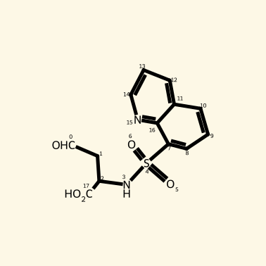 O=CCC(NS(=O)(=O)c1cccc2cccnc12)C(=O)O